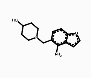 Nc1c(CN2CCC(O)CC2)ccc2occc12